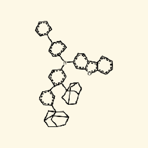 c1ccc(-c2ccc(N(c3ccc(-c4cccc(C56CC7CC(CC(C7)C5)C6)c4)c(C45CC6CC(CC(C6)C4)C5)c3)c3ccc4c(c3)oc3ccccc34)cc2)cc1